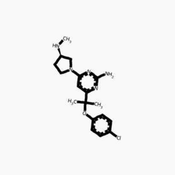 CN[C@@H]1CCN(c2cc(C(C)(C)Oc3ccc(Cl)cc3)nc(N)n2)C1